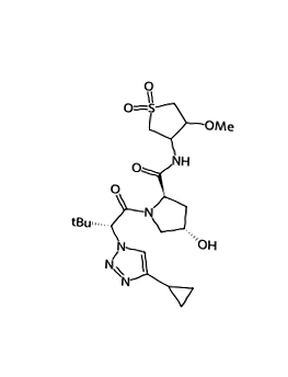 COC1CS(=O)(=O)CC1NC(=O)[C@H]1C[C@H](O)CN1C(=O)[C@H](n1cc(C2CC2)nn1)C(C)(C)C